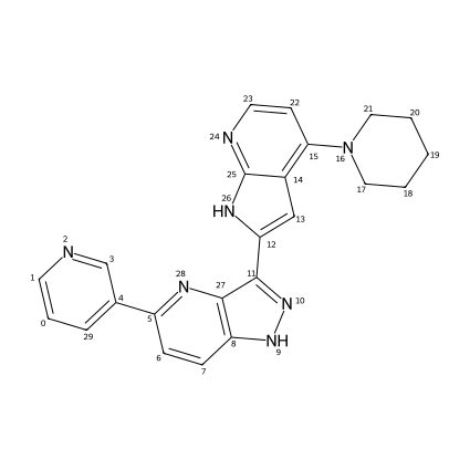 c1cncc(-c2ccc3[nH]nc(-c4cc5c(N6CCCCC6)ccnc5[nH]4)c3n2)c1